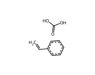 C=Cc1ccccc1.O=C(O)O